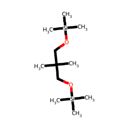 CC(C)(CO[Si](C)(C)C)CO[Si](C)(C)C